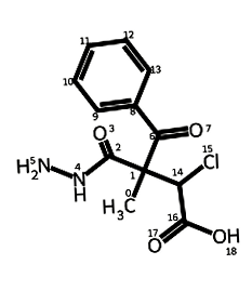 CC(C(=O)NN)(C(=O)c1ccccc1)C(Cl)C(=O)O